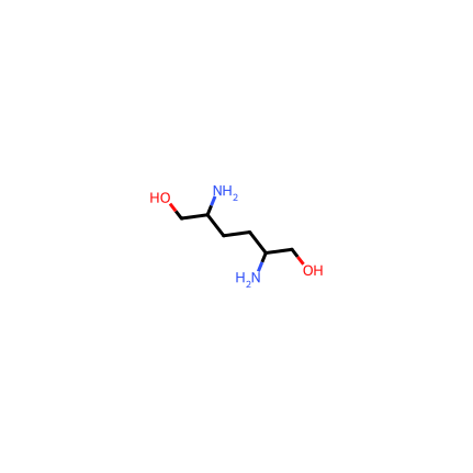 NC(CO)CCC(N)CO